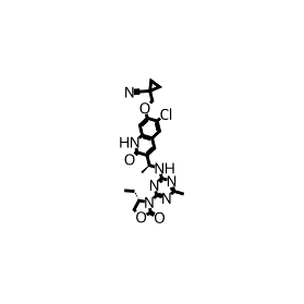 CC[C@H]1COC(=O)N1c1nc(C)nc(N[C@@H](C)c2cc3cc(Cl)c(OCC4(C#N)CC4)cc3[nH]c2=O)n1